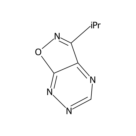 CC(C)c1noc2nncnc12